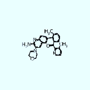 Cc1cccnc1C(=O)c1cccc(C)c1-c1ccc2nc(N)c(N3CCOCC3)cc2c1